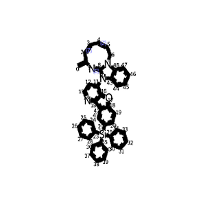 C=C1/C=C\C=C/CN2/C(=N\1)N(c1ccnc3c1oc1ccc([Si](c4ccccc4)(c4ccccc4)c4ccccc4)cc13)c1ccccc12